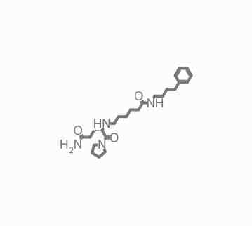 NC(=O)CC[C@H](NCCCCCC(=O)NCCCCc1ccccc1)C(=O)N1CCCC1